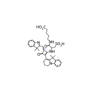 CC1(C)C(/C=C2\C(=O)C(C3=C4N(CCC3)c3ccccc3C4(C)C)=C2NC(CS(=O)(=O)O)C(=O)NCCCCC(=O)O)=Nc2ccccc21